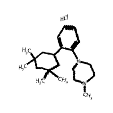 CN1CCN(c2ccccc2C2CC(C)(C)CC(C)(C)C2)CC1.Cl